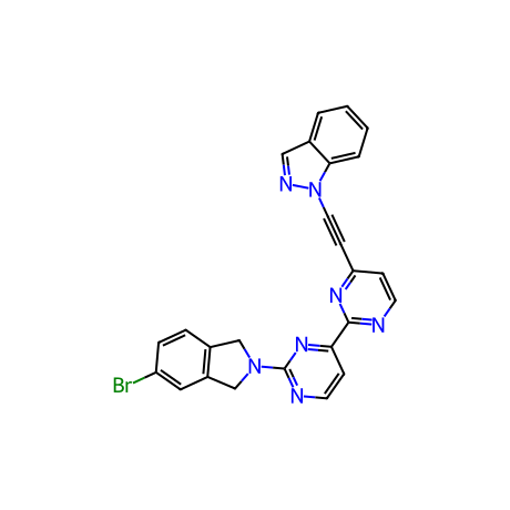 Brc1ccc2c(c1)CN(c1nccc(-c3nccc(C#Cn4ncc5ccccc54)n3)n1)C2